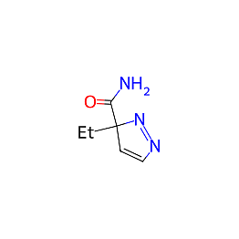 [CH2]CC1(C(N)=O)C=CN=N1